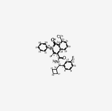 Cc1c(C(=O)N[C@H](c2cccc(F)c2)C2CCC2)c2cccc(Cl)c2c(=O)n1-c1ccccc1